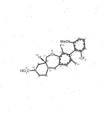 COc1cccc(C(F)(F)F)c1-c1c(F)cc2c(c1F)OC[C@H]1CN(C(=O)O)CCN1C2